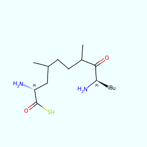 CCC(C)[C@@H](N)C(=O)C(C)CCC(C)C[C@@H](N)C(=O)S